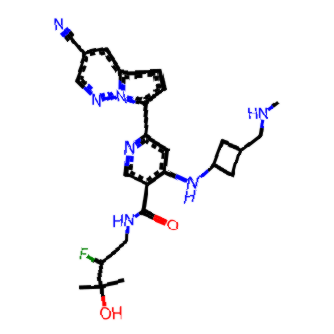 CNCC1CC(Nc2cc(-c3ccc4cc(C#N)cnn34)ncc2C(=O)NCC(F)C(C)(C)O)C1